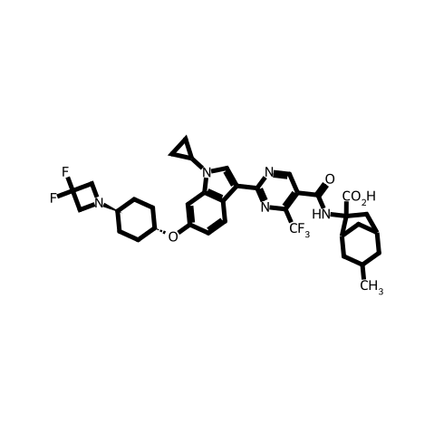 CC1CC2CC(C1)C(NC(=O)c1cnc(-c3cn(C4CC4)c4cc(O[C@H]5CC[C@H](N6CC(F)(F)C6)CC5)ccc34)nc1C(F)(F)F)(C(=O)O)C2